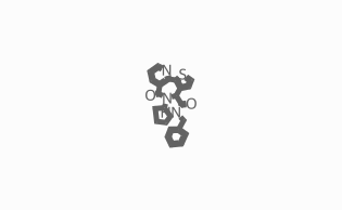 O=C(NCc1ccccc1)C1c2ccsc2-c2ncccc2C(=O)N1C1CCCC1